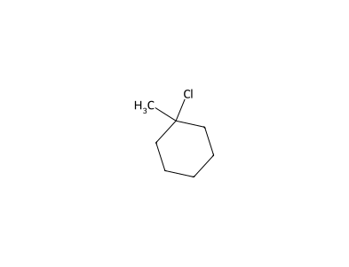 CC1(Cl)CCCCC1